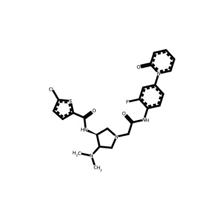 CN(C)C1CN(CC(=O)Nc2ccc(-n3ccccc3=O)cc2F)C[C@@H]1NC(=O)c1ccc(Cl)s1